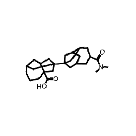 CN(C)C(=O)C1CC2CC3CC(C45CC6CCCC(C(=O)O)(C4)C(C6)C5)(C2)CC3C1